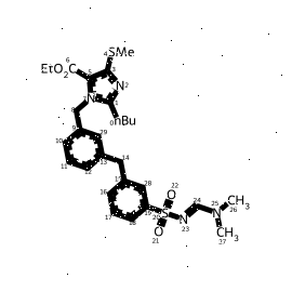 CCCCc1nc(SC)c(C(=O)OCC)n1Cc1cccc(Cc2cccc(S(=O)(=O)/N=C/N(C)C)c2)c1